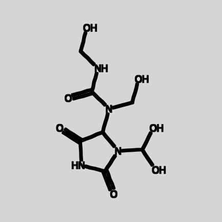 O=C1NC(=O)N(C(O)O)C1N(CO)C(=O)NCO